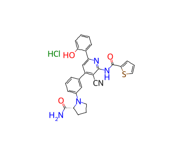 Cl.N#Cc1c(-c2cccc(N3CCC[C@@H]3C(N)=O)c2)cc(-c2ccccc2O)nc1NC(=O)c1cccs1